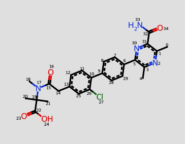 Cc1nc(C)c(-c2ccc(-c3ccc(CC(=O)N(C)C(C)(C)C(=O)O)cc3Cl)cc2)nc1C(N)=O